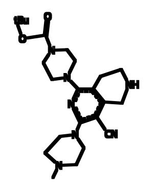 CN1CCN(c2nc(N3CCN(C(=O)OC(C)(C)C)CC3)c3c(c2C#N)CNCC3)CC1